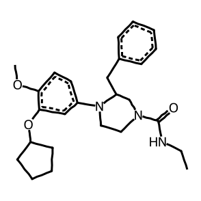 CCNC(=O)N1CCN(c2ccc(OC)c(OC3CCCC3)c2)C(Cc2ccccc2)C1